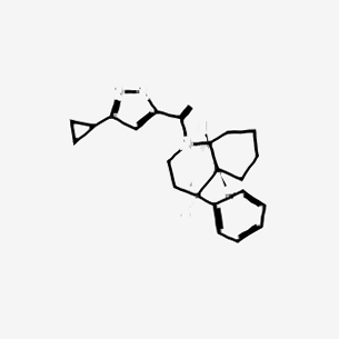 O=C(c1cc(C2CC2)n[nH]1)N1CC[C@](O)(c2ccccc2)[C@H]2CCCC[C@H]21